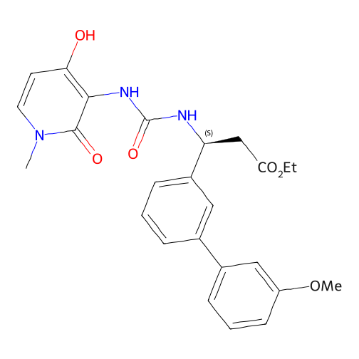 CCOC(=O)C[C@H](NC(=O)Nc1c(O)ccn(C)c1=O)c1cccc(-c2cccc(OC)c2)c1